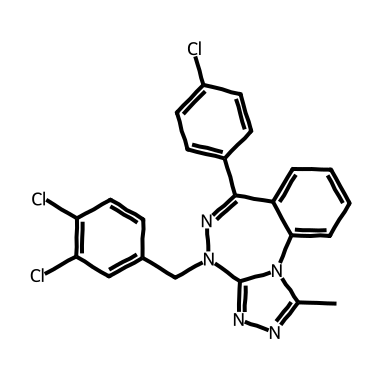 Cc1nnc2n1-c1ccccc1C(c1ccc(Cl)cc1)=NN2Cc1ccc(Cl)c(Cl)c1